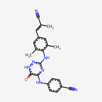 C/C(C#N)=C\c1cc(C)c(Nc2n[nH]c(=O)c(Nc3ccc(C#N)cc3)n2)c(C)c1